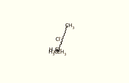 CCCCCCCCCCCCC=CCCC=C[N+](C)(C)C.[Cl-]